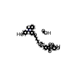 CC/C(=C(\c1ccc(O)cc1)c1ccc(OCCCCCN2CCN(c3ccc4c(c3)C(=O)N(C3CCC(=O)NC3=O)C4=O)CC2)cc1)c1ccccc1.O=CO